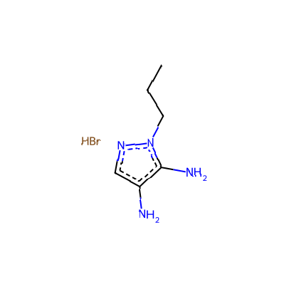 Br.CCCn1ncc(N)c1N